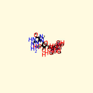 NC1NC(=O)c2ncn([C@@H]3O[C@H](COP(=O)(O)OP(=O)(O)OP(=O)(O)O)[C@@H](O)[C@H]3O)c2N1